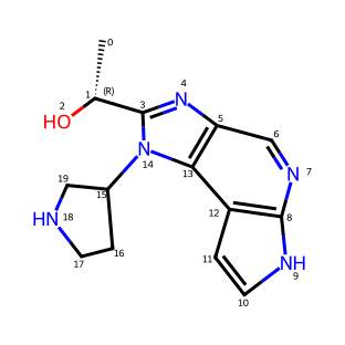 C[C@@H](O)c1nc2cnc3[nH]ccc3c2n1C1CCNC1